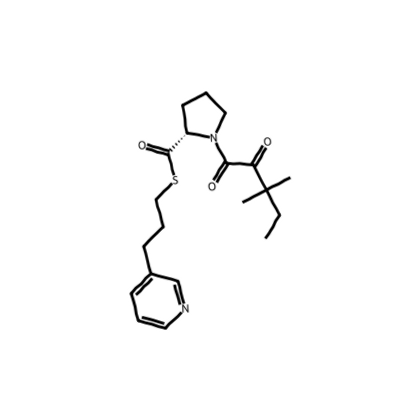 CCC(C)(C)C(=O)C(=O)N1CCC[C@H]1C(=O)SCCCc1cccnc1